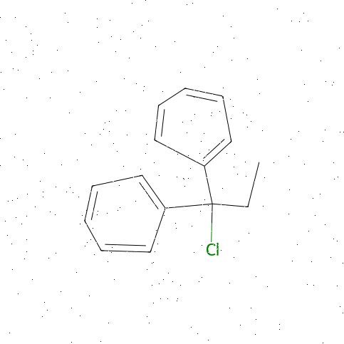 CCC(Cl)(c1ccccc1)c1ccccc1